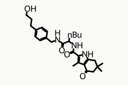 CCCCC(NC(=O)c1[nH]c2c(c1C)C(=O)CC(C)(C)C2)C(=O)NCc1ccc(CCCO)cc1